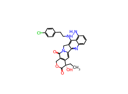 CC[C@@]1(O)C(=O)OCc2c1cc1n(c2=O)Cc2c-1nc1cccc(N)c1c2NCCc1ccc(Cl)cc1